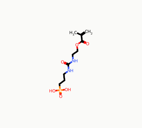 C=C(C)C(=O)OCCNC(=O)NCCCP(=O)(O)O